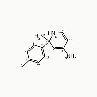 Cc1ccc(C2(N)C=C(N)C=CN2)cc1